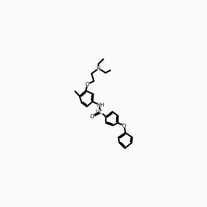 CCN(CC)CCOc1cc(N[11C](=O)c2ccc(Oc3ccccc3)cc2)ccc1C